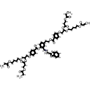 C=CC(=O)OCCCCCOC(COc1ccc(C(=O)OCCc2ccc(OC(=O)c3ccc(OCC(COCCCCOC(=O)C=C)OC(=O)CCOC(=O)C=C)cc3)c(/C=N/Nc3nc4ccccc4s3)c2)cc1)OC(=O)CCOC(=O)C=C